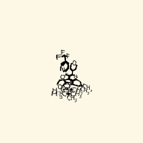 CC1(C)Cc2nc(C3CCOCC3)c3c(c2C(O[Si](C)(C)C(C)(C)C)C1)C1(CCOCC1I)O[C@@H]3c1ccc(C(F)(F)F)cn1